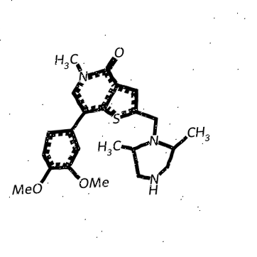 COc1ccc(-c2cn(C)c(=O)c3cc(CN4C(C)CNCC4C)sc23)cc1OC